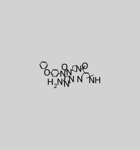 CNC(C)(C)C=C(C#N)C(=O)N1CC[C@H](n2c(=O)n(-c3ccc(Oc4ccccc4)cc3)c3c(N)ncnc32)C1